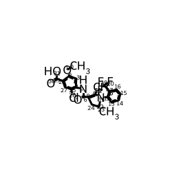 COc1cc(NC(=O)C2=C(C)N(c3ccccc3C(F)(F)F)C(C)C2)c(Cl)cc1C(=O)O